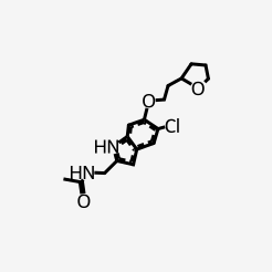 CC(=O)NCc1cc2cc(Cl)c(OCCC3CCCO3)cc2[nH]1